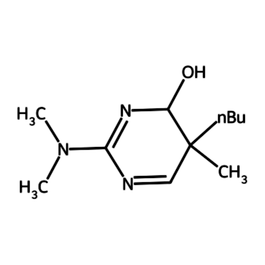 CCCCC1(C)C=NC(N(C)C)=NC1O